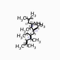 C/C=C(C/C(CC)=C(\C)C=C(C)C)\C(C)=C(/N)CC(C)C